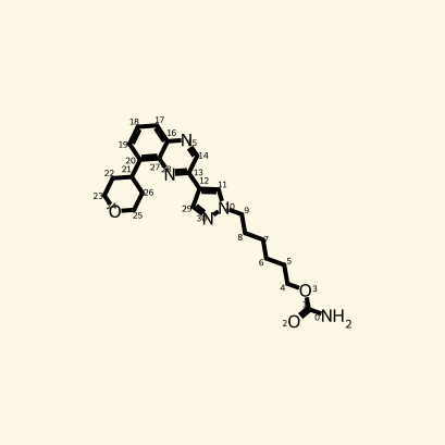 NC(=O)OCCCCCCn1cc(-c2cnc3cccc(C4CCOCC4)c3n2)cn1